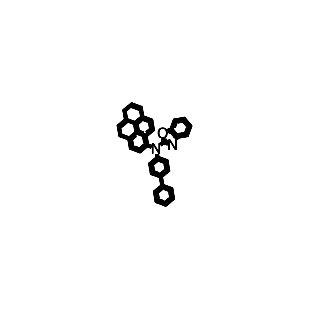 C1=Cc2ccc3c(N(c4ccc(-c5ccccc5)cc4)c4nc5ccccc5o4)ccc4c3c2C(=CC4)C1